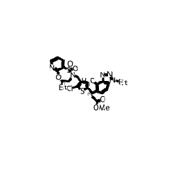 CC[C@@H]1CN(Cc2cc([C@@H](CC(=O)OC)c3ccc4c(nnn4CC)c3C)sc2Cl)S(=O)(=O)c2cccnc2O1